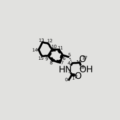 CC(=O)N[C@H](Cc1ccc2c(c1)CCCC2)C(=O)O